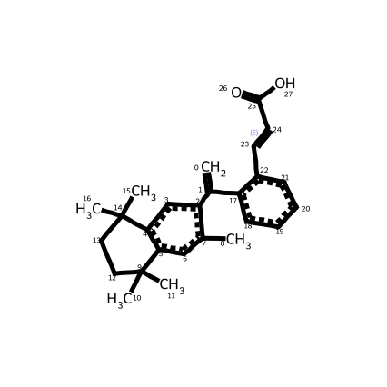 C=C(c1cc2c(cc1C)C(C)(C)CCC2(C)C)c1ccccc1/C=C/C(=O)O